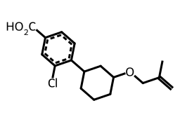 C=C(C)COC1CCCC(c2ccc(C(=O)O)cc2Cl)C1